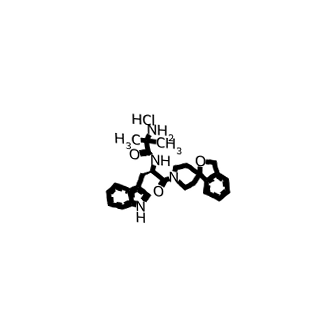 CC(C)(N)C(=O)N[C@H](Cc1c[nH]c2ccccc12)C(=O)N1CCC2(CC1)OCc1ccccc12.Cl